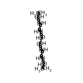 CN(C)CCNC(=O)c1ccc(-c2nc3cc(-c4ccc5[nH]c(-c6ccc(C(=O)NCCCCNC(=O)c7ccc(-c8nc9cc(-c%10ccc%11[nH]c(-c%12ccc(C(=O)NCCN(C)C)cc%12)nc%11c%10)ccc9[nH]8)cc7)cc6)nc5c4)ccc3[nH]2)cc1